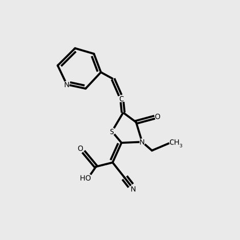 CCn1c(=O)c(=C=Cc2cccnc2)s/c1=C(/C#N)C(=O)O